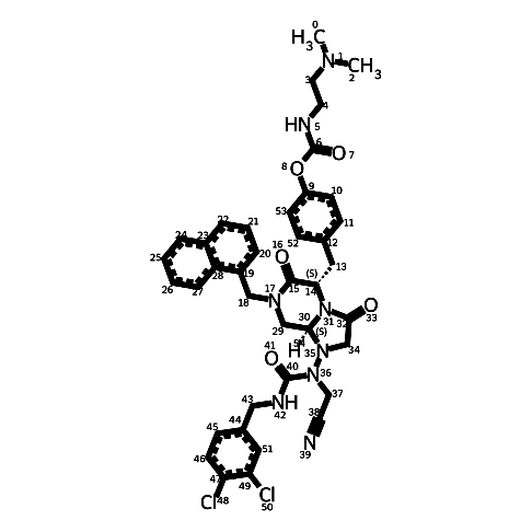 CN(C)CCNC(=O)Oc1ccc(C[C@H]2C(=O)N(Cc3cccc4ccccc34)C[C@H]3N2C(=O)CN3N(CC#N)C(=O)NCc2ccc(Cl)c(Cl)c2)cc1